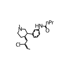 C/C=C(Cl)\C=C1/CCN(C)CC1c1cccc(NC(=O)CCC)c1